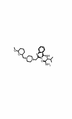 COC1CCCC(CN2CCN(Cc3nc(N[C@H](C(N)=O)C(C)C)c4ccccc4n3)CC2)O1